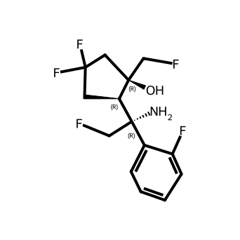 N[C@@](CF)(c1ccccc1F)[C@H]1CC(F)(F)C[C@]1(O)CF